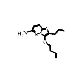 CCCCOc1c(CCC)nc2ccc(N)nn12